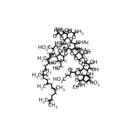 C=C(C/C=C(\C)CCC=C(C)C)CCC(C)(C)/C=C/CC/C(C)=C/COC(COP(=O)(O)OC1OC(C(N)=O)C(C)(O)C(OC(N)=O)C1OC1OC(COC2CC(CO)C(O)C(O)C2O)C(OC2OC(C)C(OC3OC(c4nc(C(=O)CCC(=O)O)nn4-c4ccc([N+](=O)[O-])cc4C(=O)NCC)C(O)C(O)C3O)C(O)C2NC(C)=O)C(O)C1NC(C)=O)C(=O)O